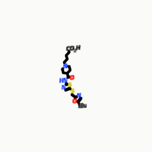 CC(C)(C)c1cnc(CSc2cnc(NC(=O)C3CCN(CCCCC(=O)O)CC3)s2)o1